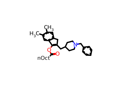 CCCCCCCCC(=O)OC1=C(CC2CCN(Cc3ccccc3)CC2)Cc2cc(C)c(C)cc21